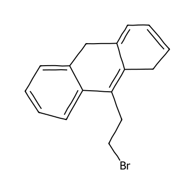 BrCCC1=C2CC=CC=C2Cc2ccccc21